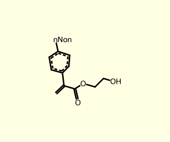 C=C(C(=O)OCCO)c1ccc(CCCCCCCCC)cc1